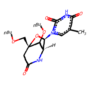 CCCCOC[C@]12CC(=O)N[C@@H](C1OCCCC)[C@H](n1cc(C)c(=O)[nH]c1=O)O2